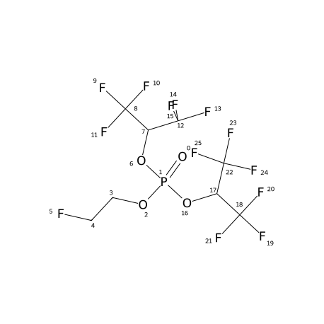 O=P(OCCF)(OC(C(F)(F)F)C(F)(F)F)OC(C(F)(F)F)C(F)(F)F